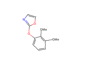 COc1cccc(Oc2nc[c]o2)c1OC